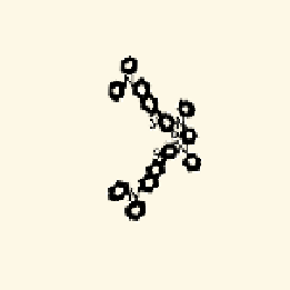 c1ccc(N(c2ccccc2)c2ccc3cc4c(cc3c2)sc2cc3c(cc24)N(c2ccccc2)c2cccc4c2B3c2cc3sc5cc6cc(N(c7ccccc7)c7ccccc7)ccc6cc5c3cc2N4c2ccccc2)cc1